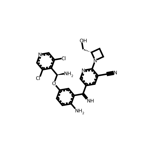 N#Cc1cc(C(=N)c2cc(O[C@H](N)c3c(Cl)cncc3Cl)ccc2N)cnc1N1CC[C@H]1CO